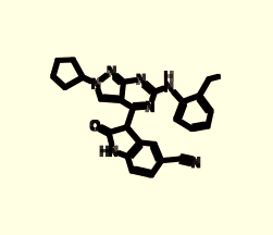 CCc1ccccc1Nc1nc(C2C(=O)Nc3ccc(C#N)cc32)c2cn(C3CCCC3)nc2n1